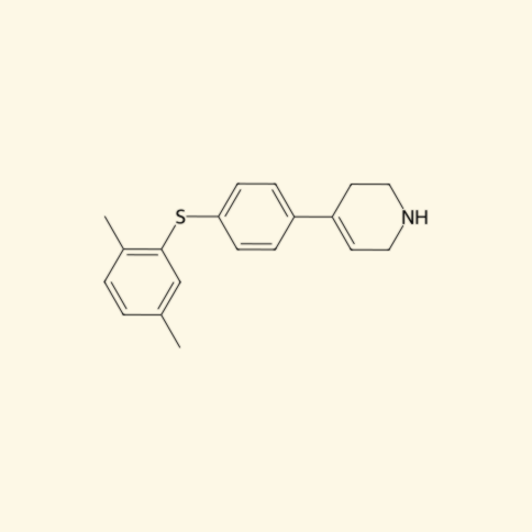 Cc1ccc(C)c(Sc2ccc(C3=CCNCC3)cc2)c1